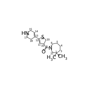 CC1(C)CCCCN(C(=O)C2C=C(C3=CCNCC3)SC2)C1